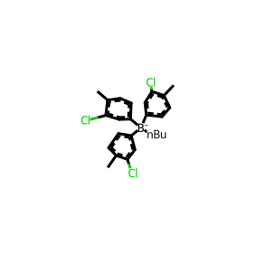 CCCC[B-](c1ccc(C)c(Cl)c1)(c1ccc(C)c(Cl)c1)c1ccc(C)c(Cl)c1